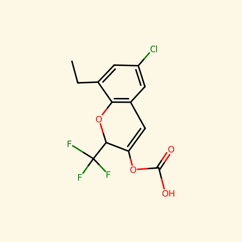 CCc1cc(Cl)cc2c1OC(C(F)(F)F)C(OC(=O)O)=C2